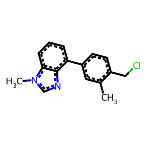 Cc1cc(-c2cccc3c2ncn3C)ccc1CCl